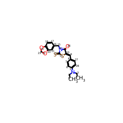 CCN(CC)c1ccc(C=C2SC(=S)N(Cc3ccc4c(c3)OCO4)C2=O)cc1